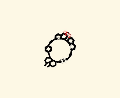 CC1CCC2C3=C1C(C)CCC3c1ccc(cc1)C#Cc1ccc3ccc4c(c3c1)-c1c(ccc3ccc(cc13)C#Cc1ccc2cc1)OCO4